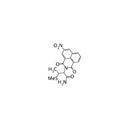 CSC(C)C(C(N)=O)N1C(=O)c2cccc3cc([N+](=O)[O-])cc(c23)C1=O